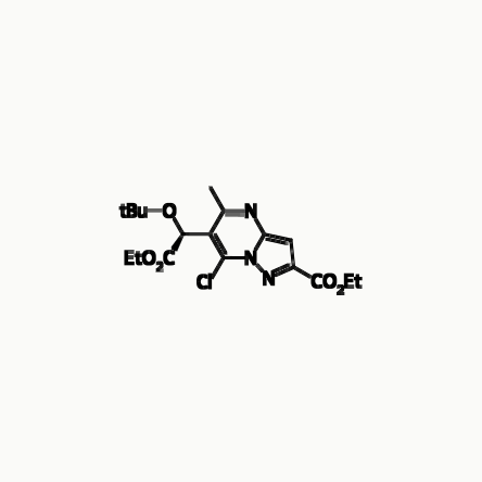 CCOC(=O)c1cc2nc(C)c([C@H](OC(C)(C)C)C(=O)OCC)c(Cl)n2n1